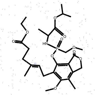 CCOC(=O)CC/C(C)=C/Cc1c(OC)c(C)c2c(c1OP(=O)(COC)NC(C)C(=O)OC(C)C)C(=O)OC2